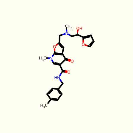 Cc1ccc(CNC(=O)c2cn(C)c3oc(CN(C)C[C@@H](O)c4ccco4)cc3c2=O)cc1